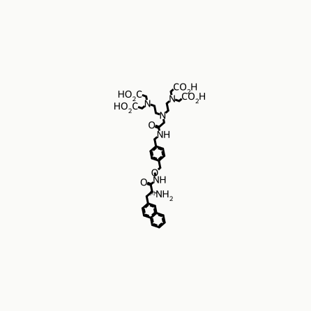 N[C@H](Cc1ccc2ccccc2c1)C(=O)NOCc1ccc(CNC(=O)CN(CCN(CC(=O)O)CC(=O)O)CCN(CC(=O)O)CC(=O)O)cc1